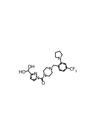 O=C(N1CCN(Cc2ccc(C(F)(F)F)cc2N2CCCC2)CC1)n1ccc(C(O)O)n1